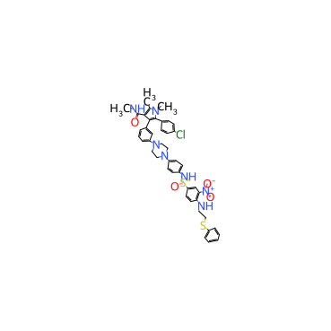 CNC(=O)c1c(-c2cccc(N3CCN(c4ccc(N[S+]([O-])c5ccc(NCCSc6ccccc6)c([N+](=O)[O-])c5)cc4)CC3)c2)c(-c2ccc(Cl)cc2)n(C)c1C